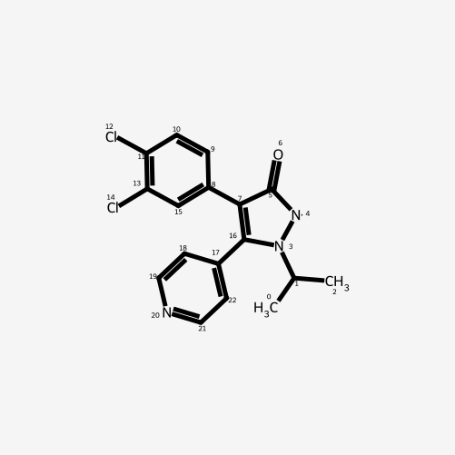 CC(C)N1[N]C(=O)C(c2ccc(Cl)c(Cl)c2)=C1c1ccncc1